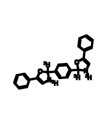 [2H]N1C=C(c2ccccc2)OC1([2H])c1ccc(C2([2H])OC(c3ccccc3)=CN2[2H])cc1